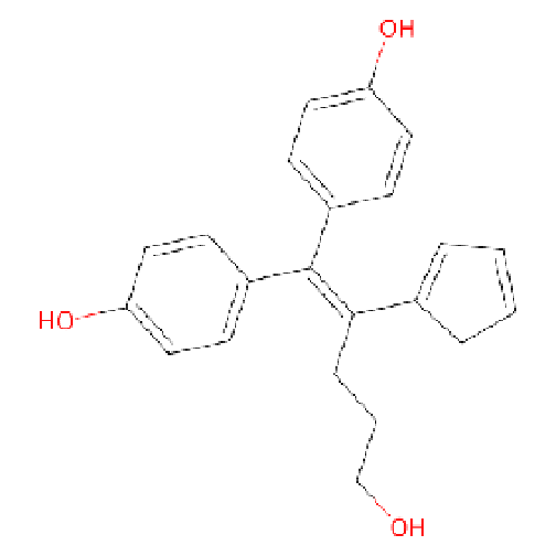 OCCCC(C1=CC=CC1)=C(c1ccc(O)cc1)c1ccc(O)cc1